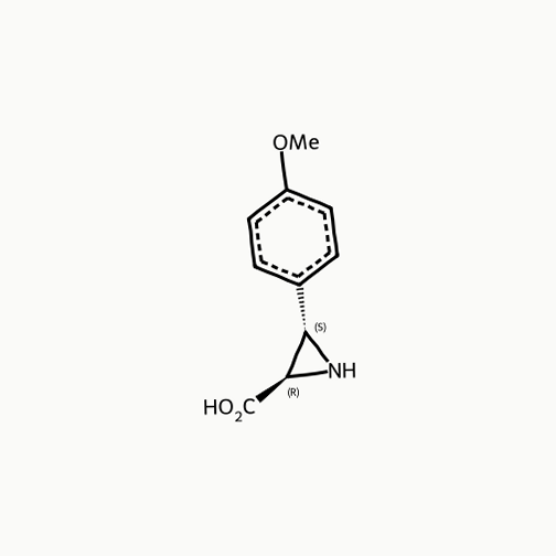 COc1ccc([C@@H]2N[C@H]2C(=O)O)cc1